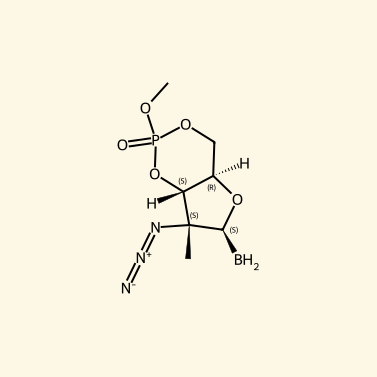 B[C@@H]1O[C@@H]2COP(=O)(OC)O[C@H]2[C@@]1(C)N=[N+]=[N-]